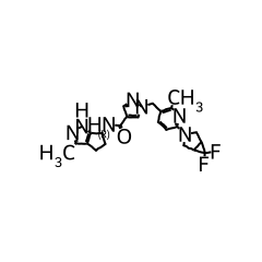 Cc1nc(N2CC3C(C2)C3(F)F)ccc1Cn1cc(C(=O)N[C@@H]2CCc3c(C)n[nH]c32)cn1